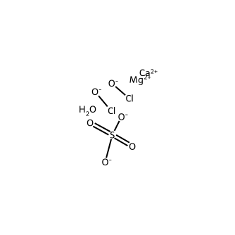 O.O=S(=O)([O-])[O-].[Ca+2].[Mg+2].[O-]Cl.[O-]Cl